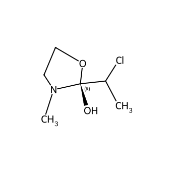 CC(Cl)[C@@]1(O)OCCN1C